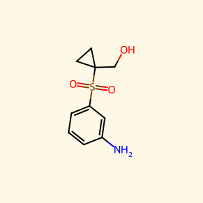 Nc1cccc(S(=O)(=O)C2(CO)CC2)c1